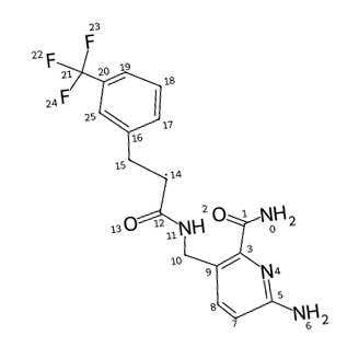 NC(=O)c1nc(N)ccc1CNC(=O)[CH]Cc1cccc(C(F)(F)F)c1